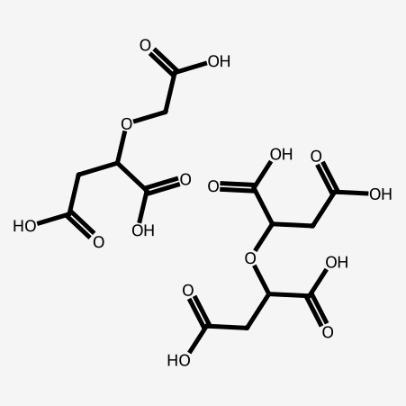 O=C(O)CC(OC(CC(=O)O)C(=O)O)C(=O)O.O=C(O)COC(CC(=O)O)C(=O)O